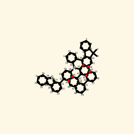 CC1(C)c2ccccc2-c2c(-c3ccccc3N(c3ccc(-c4cccc5c4sc4ccccc45)cc3)c3ccccc3-c3cccc4cccc(-c5ccccc5)c34)cccc21